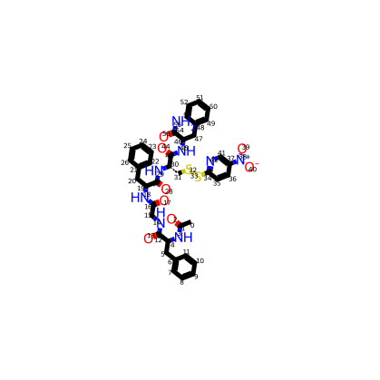 CC(=O)NC(Cc1ccccc1)C(=O)NCC(=O)NC(Cc1ccccc1)C(=O)N[C@@H](CSSc1ccc([N+](=O)[O-])cn1)C(=O)NC(Cc1ccccc1)C(N)=O